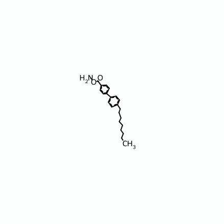 CCCCCCCCCc1ccc(-c2ccc(C(=O)ON)cc2)cc1